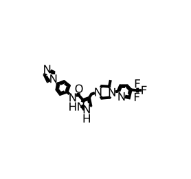 CC1CN(Cc2c[nH]nc2C(=O)Nc2ccc(-n3ccnc3)cc2)CCN1c1ccc(C(F)(F)F)cn1